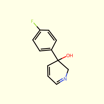 OC1(c2ccc(F)cc2)C=CC=NC1